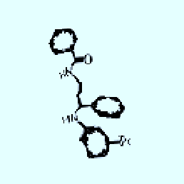 CC(C)c1cccc(NC(CCNC(=O)c2ccccc2)c2ccccc2)c1